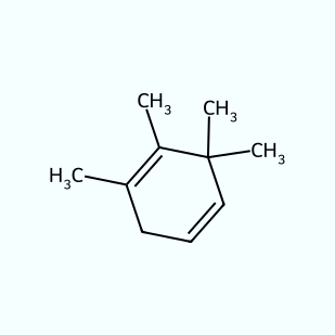 CC1=C(C)C(C)(C)C=CC1